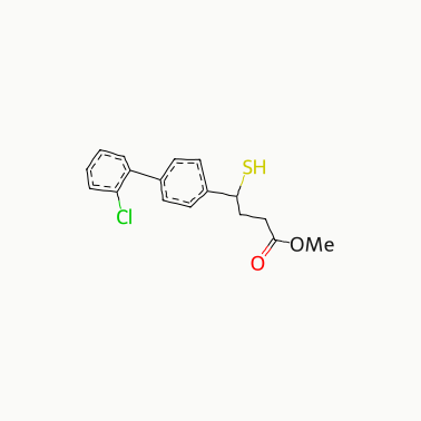 COC(=O)CCC(S)c1ccc(-c2ccccc2Cl)cc1